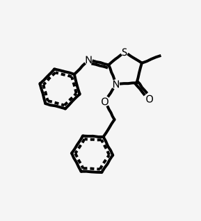 CC1SC(=Nc2ccccc2)N(OCc2ccccc2)C1=O